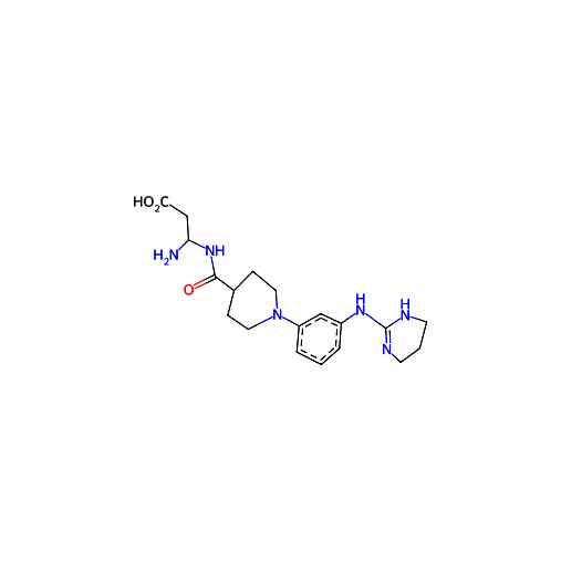 NC(CC(=O)O)NC(=O)C1CCN(c2cccc(NC3=NCCCN3)c2)CC1